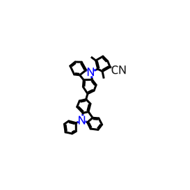 Cc1ccc(C#N)c(C)c1-n1c2ccccc2c2cc(-c3ccc4c(c3)c3ccccc3n4-c3ccccc3)ccc21